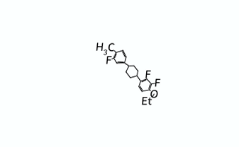 CCOc1ccc(C2CCC(c3ccc(C)c(F)c3)CC2)c(F)c1F